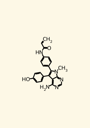 C=CC(=O)Nc1ccc(-c2c(-c3ccc(O)cc3)c3c(N)ncnc3n2C)cc1